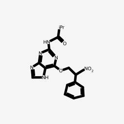 CC(C)C(=O)Nc1nc(OCC(c2ccccc2)[N+](=O)[O-])c2[nH]cnc2n1